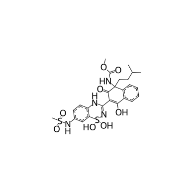 COC(=O)NC1(CCC(C)C)C(=O)C(C2=NS(O)(O)c3cc(NS(C)(=O)=O)ccc3N2)=C(O)c2ccccc21